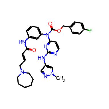 Cn1cc(Nc2nccc(N(C(=O)OCc3ccc(F)cc3)c3cccc(NC(=O)/C=C/CN4CCCCCC4)c3)n2)cn1